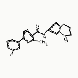 Cc1nc(-c2cccc(F)c2)ccc1C(=O)Nc1ccc2c(c1)NCCC2